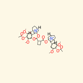 COc1cc(C[N+]2(C)[C@@H]3CC[C@H]2C[C@@H](OC(=O)C2CCC2C(=O)O[C@H]2C[C@H]4CC[C@@H](C2)[N+]4(C)Cc2cc(OC)c(OC(C)=O)c(OC)c2)C3)cc(OC)c1OC(C)=O